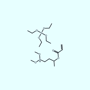 C=CC(=O)OC(C)CC[SiH](OC)OC.CCO[Si](OCC)(OCC)OCC